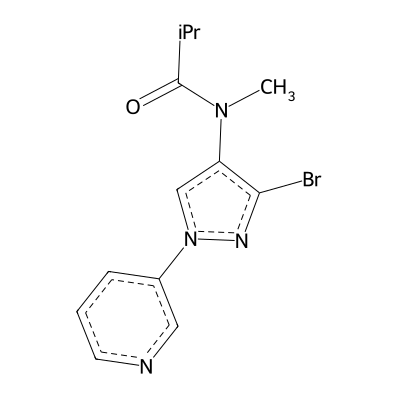 CC(C)C(=O)N(C)c1cn(-c2cccnc2)nc1Br